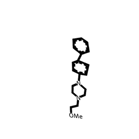 COCCN1CCN(c2ccc(-c3ccccc3)cc2)CC1